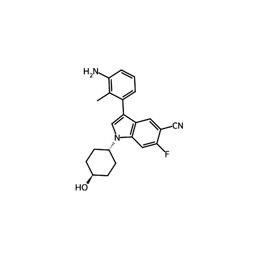 Cc1c(N)cccc1-c1cn([C@H]2CC[C@H](O)CC2)c2cc(F)c(C#N)cc12